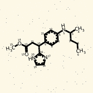 CCCC(C)Nc1ccc(C(CC(=O)OC)c2ncc[nH]2)cc1